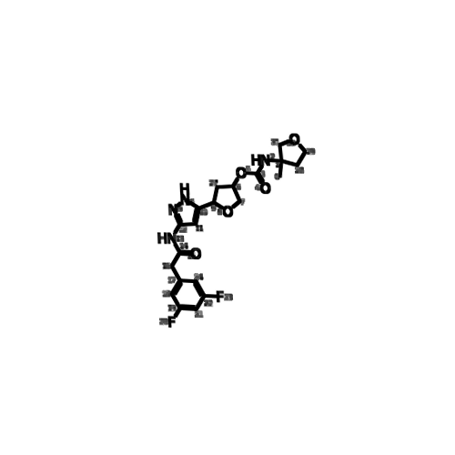 CC1(NC(=O)OC2COC(c3cc(NC(=O)Cc4cc(F)cc(F)c4)n[nH]3)C2)CCOC1